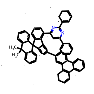 CC1(C)c2ccccc2C2(c3ccc(-c4ccc5c(c4)c4c(c6ccccc65)C=CCC4)cc3-c3c(-c4cc(-c5ccccc5)nc(C5=CC=CCC5)n4)cccc32)c2ccccc21